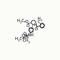 CCOC(=O)[C@H]1CCCN(C(=O)c2ccccc2C)[C@H]1c1ccc(NC(=O)OC(C)(C)C)cc1